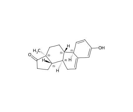 C[C@]12CC[C@H]3[C@@H](CC=C4C=C(O)C=C[C@@H]43)[C@@H]1CCC2=O